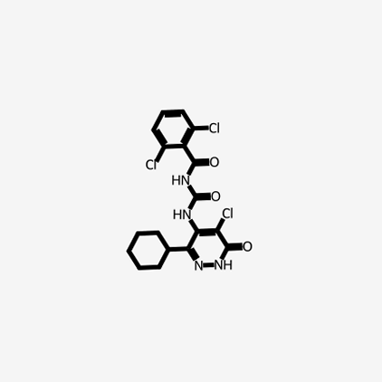 O=C(NC(=O)c1c(Cl)cccc1Cl)Nc1c(C2CCCCC2)n[nH]c(=O)c1Cl